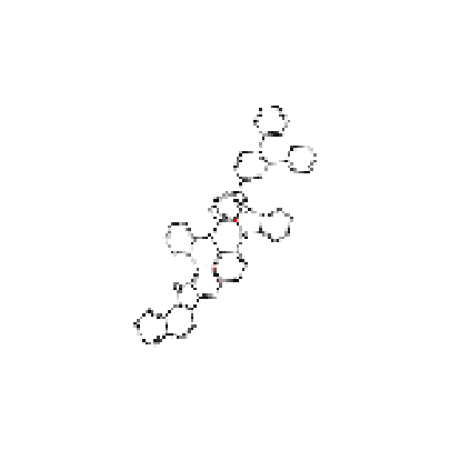 c1ccc(-c2ccc(-c3ccc(N(c4ccccc4-c4cccc5c4oc4c6ccccc6ccc54)c4ccccc4-n4c5ccccc5c5ccccc54)cc3)cc2-c2ccccc2)cc1